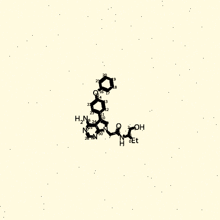 CCC(CO)NC(=O)Cn1cc(-c2ccc(Oc3ccccc3)cc2)c2c(N)ncnc21